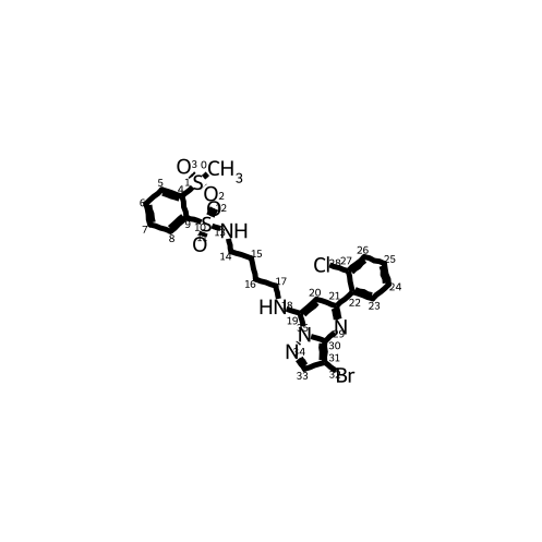 CS(=O)(=O)c1ccccc1S(=O)(=O)NCCCCNc1cc(-c2ccccc2Cl)nc2c(Br)cnn12